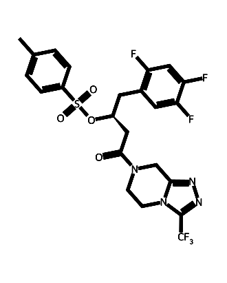 Cc1ccc(S(=O)(=O)O[C@H](CC(=O)N2CCn3c(nnc3C(F)(F)F)C2)Cc2cc(F)c(F)cc2F)cc1